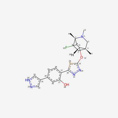 CN1C[C@]2(C)CC[C@@]1(C)C(F)[C@H]2Oc1nnc(-c2ccc(-c3cn[nH]c3)cc2O)s1